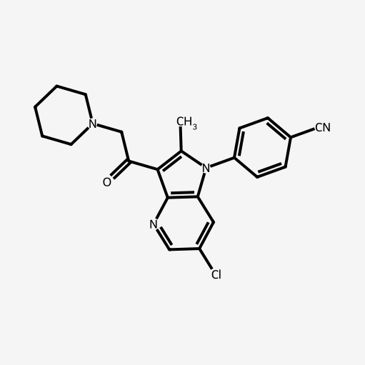 Cc1c(C(=O)CN2CCCCC2)c2ncc(Cl)cc2n1-c1ccc(C#N)cc1